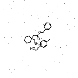 Cc1ccc(S(=O)(=O)O)cc1.NCC1(CC(=O)OCc2ccccc2)CCCCC1